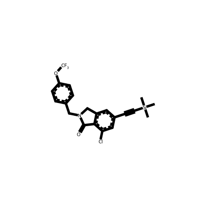 C[Si](C)(C)C#Cc1cc(Cl)c2c(c1)CN(Cc1ccc(OC(F)(F)F)cc1)C2=O